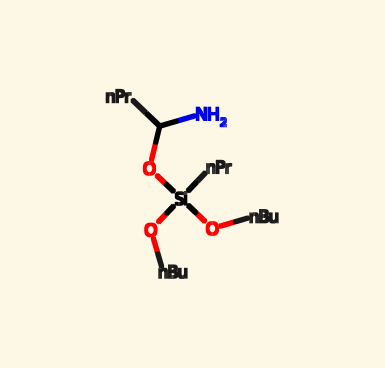 CCCCO[Si](CCC)(OCCCC)OC(N)CCC